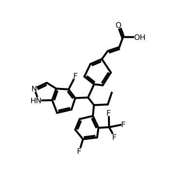 CCC(c1ccc(F)cc1C(F)(F)F)C(c1ccc(/C=C/C(=O)O)cc1)c1ccc2[nH]ncc2c1F